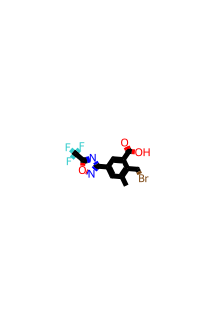 Cc1cc(-c2noc(C(F)(F)F)n2)cc(C(=O)O)c1CBr